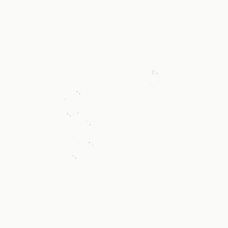 O=C(CCCCCCN(c1cnccn1)c1ncnc2occc12)NO